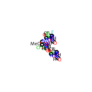 COc1ccnc(-c2nnc3n2C[C@@H]2COC[C@H]3N2C(=O)c2cccc(Cl)c2Cl)c1.O=C(c1ccc(F)c(Cl)c1Cl)N1[C@H]2COC[C@@H]1c1nnc(-c3cc(OC(F)(F)F)ccn3)n1C2.O=C(c1cccc(C(F)(F)F)c1Cl)N1[C@H]2COC[C@@H]1c1nnc(-c3cc(OC(F)(F)F)ccn3)n1C2